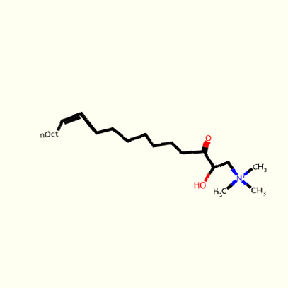 CCCCCCCC/C=C\CCCCCCCC(=O)C(O)C[N+](C)(C)C